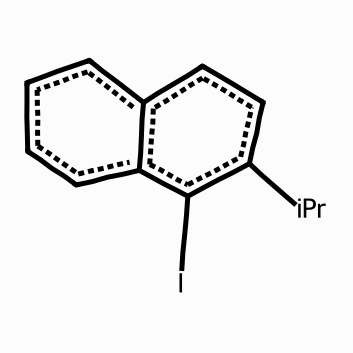 CC(C)c1ccc2ccccc2c1I